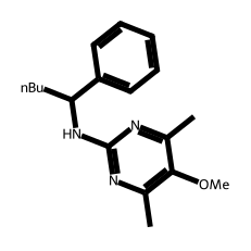 CCCCC(Nc1nc(C)c(OC)c(C)n1)c1ccccc1